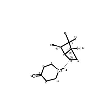 C[C@@H]1C2[C@@H](CN3CCC(=O)CC3)C[C@H]2C1(C)C